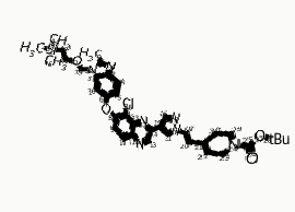 Cc1nc2ccc(Oc3ccc4ncc(-c5cnn(CCC6CCN(C(=O)OC(C)(C)C)CC6)c5)nc4c3Cl)cc2n1COCC[Si](C)(C)C